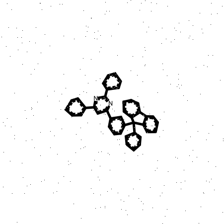 c1ccc(-c2cc(-c3cccc(C4(c5ccccc5)c5ccccc5-c5ccccc54)c3)nc(-c3ccccc3)n2)cc1